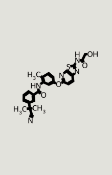 Cc1ccc(Oc2ccc3nc(NC(=O)CO)sc3n2)cc1NC(=O)c1cccc(C(C)(C)C#N)c1